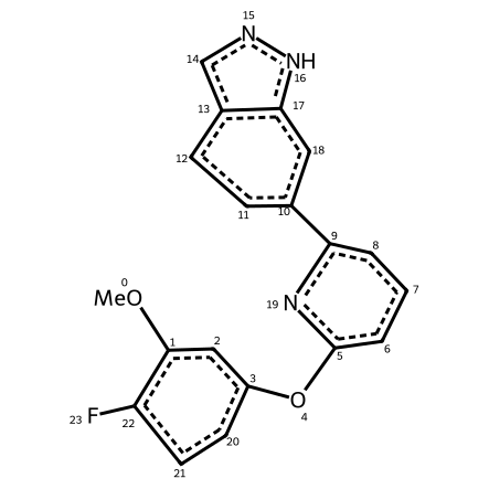 COc1cc(Oc2cccc(-c3ccc4cn[nH]c4c3)n2)ccc1F